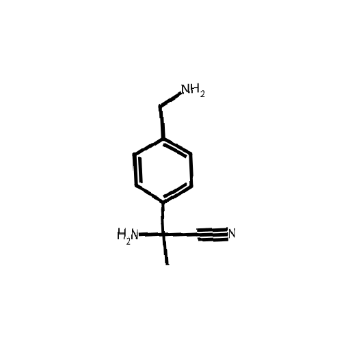 CC(N)(C#N)c1ccc(CN)cc1